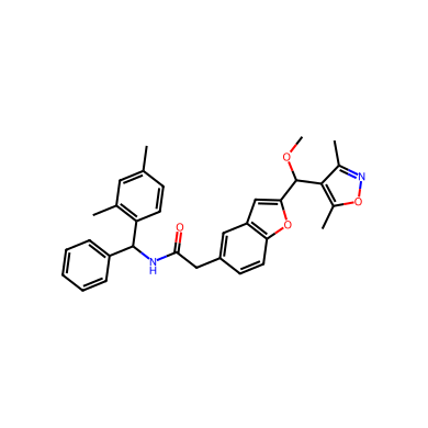 COC(c1cc2cc(CC(=O)NC(c3ccccc3)c3ccc(C)cc3C)ccc2o1)c1c(C)noc1C